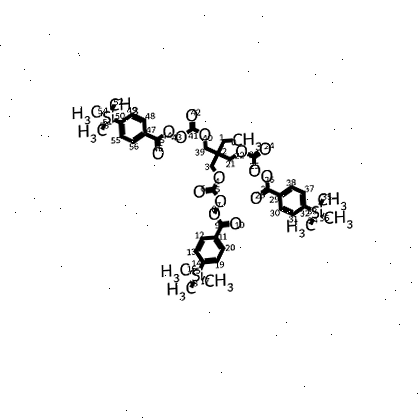 CCC(COC(=O)OOC(=O)c1ccc([Si](C)(C)C)cc1)(COC(=O)OOC(=O)c1ccc([Si](C)(C)C)cc1)COC(=O)OOC(=O)c1ccc([Si](C)(C)C)cc1